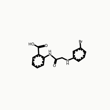 O=C(CNc1cccc(Br)c1)Nc1ccccc1C(=O)O